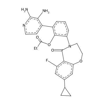 CCC(=O)Oc1c(-c2ccnc(N)c2N)cccc1N1CCOc2cc(C3CC3)cc(F)c2C1=O